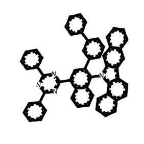 c1ccc(-c2cccc(-c3cc(-c4nc(-c5ccccc5)nc(-c5ccccc5)n4)c4ccccc4c3-n3c4cc5ccccc5cc4c4ccc5ccccc5c43)c2)cc1